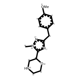 COc1ccc(Cc2nc(C3CNCCO3)n(C)n2)cc1